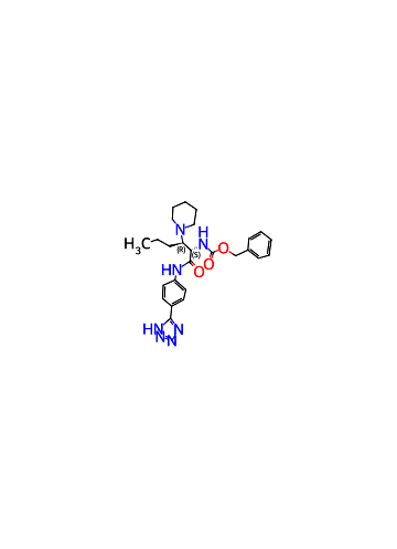 CCC[C@H]([C@H](NC(=O)OCc1ccccc1)C(=O)Nc1ccc(-c2nnn[nH]2)cc1)N1CCCCC1